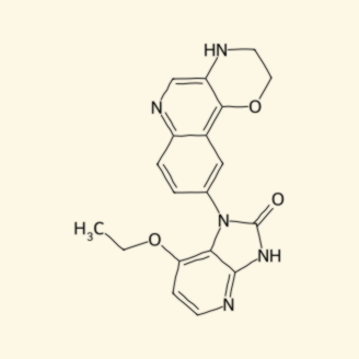 CCOc1ccnc2[nH]c(=O)n(-c3ccc4ncc5c(c4c3)OCCN5)c12